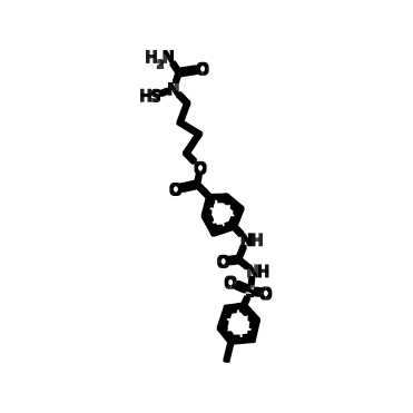 Cc1ccc(S(=O)(=O)NC(=O)Nc2ccc(C(=O)OCCCCN(S)C(N)=O)cc2)cc1